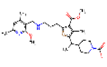 COC(=O)c1c(CCCNCc2c(C)cc(C)nc2OC)sc(C(C)C2CCN(C(=O)O)CC2)c1C